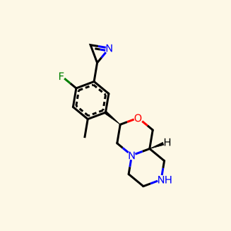 Cc1cc(F)c(C2C=N2)cc1[C@@H]1CN2CCNC[C@H]2CO1